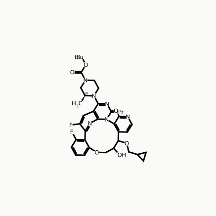 CC(C)c1nccc2c1-n1c(=O)nc(N3CCN(C(=O)OC(C)(C)C)C[C@@H]3C)c3cc(F)c(nc31)-c1c(F)cccc1OCC(O)C2OCC1CC1